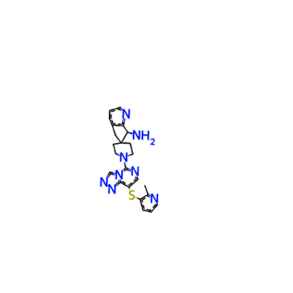 Cc1ncccc1Sc1cnc(N2CCC3(CC2)Cc2cccnc2[C@H]3N)n2cnnc12